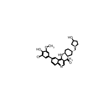 COc1cc(-c2ccc3ncc(C(C)=O)c(N[C@H]4CC[C@H](CN5CCC(O)C5)CC4)c3c2)cc(Cl)c1O